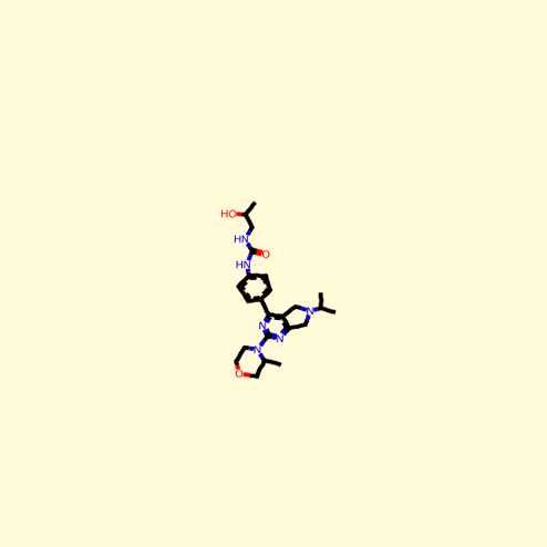 CC(O)CNC(=O)Nc1ccc(-c2nc(N3CCOCC3C)nc3c2CN(C(C)C)C3)cc1